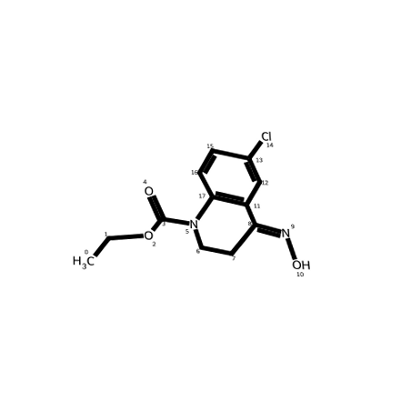 CCOC(=O)N1CCC(=NO)c2cc(Cl)ccc21